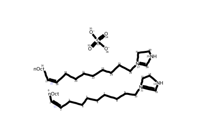 CCCCCCCC/C=C\CCCCCCCC[N+]1=CNCC1.CCCCCCCC/C=C\CCCCCCCC[N+]1=CNCC1.O=S(=O)([O-])[O-]